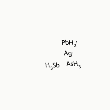 [Ag].[AsH3].[PbH2].[SbH3]